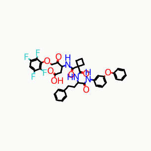 O=C(O)CC(NC(=O)C1(C(=O)NC(CCc2ccccc2)C(=O)Nc2cccc(Oc3ccccc3)c2)CCC1)C(=O)COc1c(F)c(F)cc(F)c1F